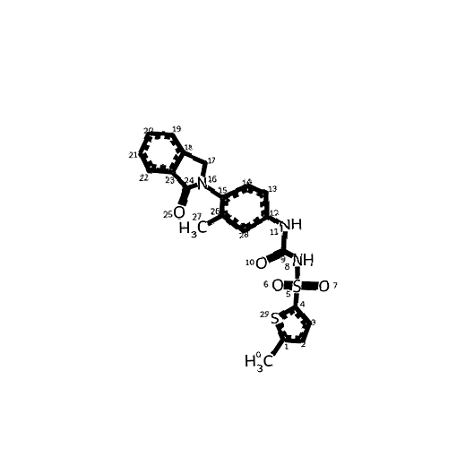 Cc1ccc(S(=O)(=O)NC(=O)Nc2ccc(N3Cc4ccccc4C3=O)c(C)c2)s1